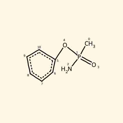 CP(N)(=O)Oc1ccccc1